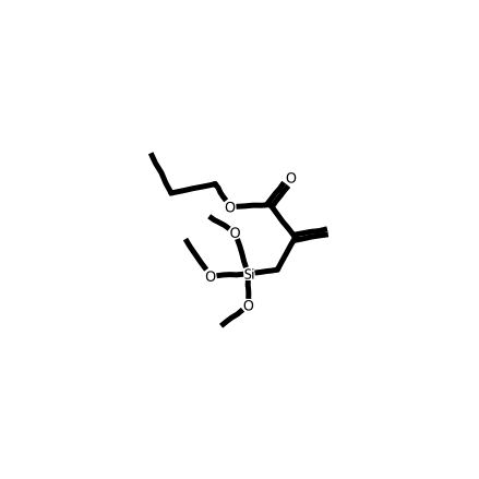 C=C(C[Si](OC)(OC)OC)C(=O)OCCC